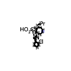 CC(C)C[C@H]1C/C=C\CN(c2nc(-c3ccccc3Cl)cs2)C(=O)[C@H]1CC(=O)O